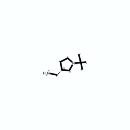 CC(C)(C)N1CC[C@@H](CN)C1